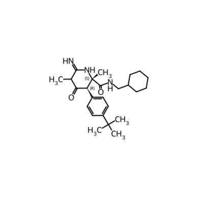 CC1C(=N)N[C@](C)(C(=O)NCC2CCCCC2)[C@@H](c2ccc(C(C)(C)C)cc2)C1=O